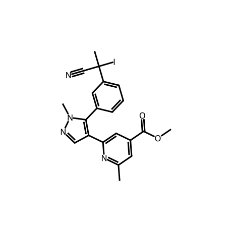 COC(=O)c1cc(C)nc(-c2cnn(C)c2-c2cccc(C(C)(I)C#N)c2)c1